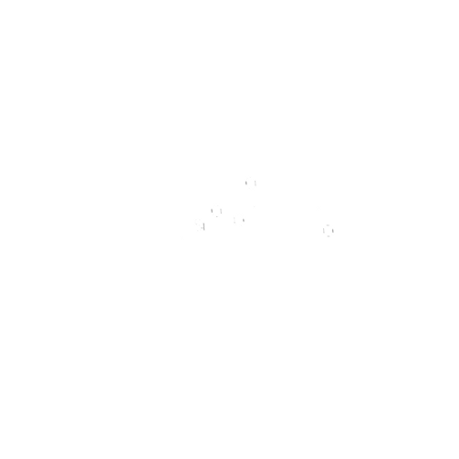 CC[Si](CC)(OOC(=O)CC1=CCCC1=O)C(C)Cc1ccccc1